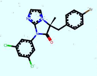 C[C@@]1(Cc2ccc(Br)cc2)C(=O)N(c2cc(Cl)cc(Cl)c2)c2nccn21